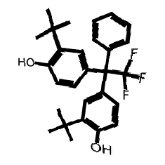 CC(C)(C)c1cc(C(c2ccccc2)(c2ccc(O)c(C(C)(C)C)c2)C(F)(F)F)ccc1O